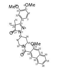 COc1ccc(C2=NN(C3CCN(C(=O)c4cc5ccccc5cc4OC)CC3)C(=O)C2(C)C)cc1OC